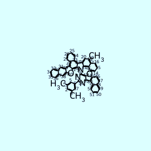 Cc1cc(C)cc(-c2nc(-n3c4c5ccccc5c(C)cc4c4c5ccccc5c5c6cc7ccccc7cc6oc5c43)c3oc4ccc5ccccc5c4c3n2)c1